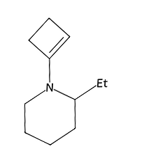 CCC1CCCCN1C1=CCC1